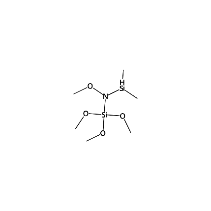 CON([SiH](C)C)[Si](OC)(OC)OC